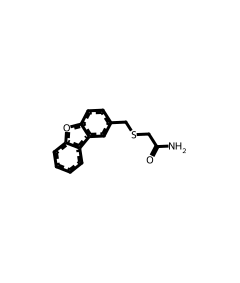 NC(=O)CSCc1ccc2oc3ccccc3c2c1